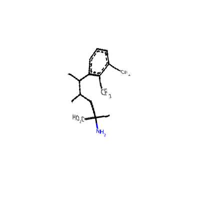 CC(CC(C)(N)C(=O)O)C(C)c1cccc(C(F)(F)F)c1C(F)(F)F